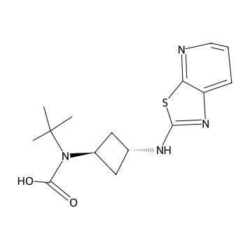 CC(C)(C)N(C(=O)O)[C@H]1C[C@H](Nc2nc3cccnc3s2)C1